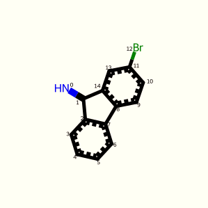 N=C1c2ccccc2-c2ccc(Br)cc21